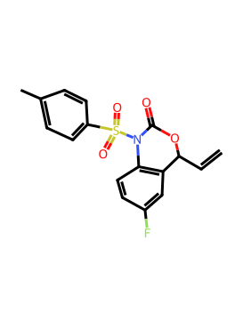 C=CC1OC(=O)N(S(=O)(=O)c2ccc(C)cc2)c2ccc(F)cc21